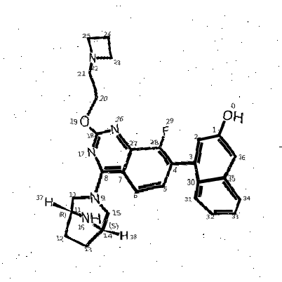 Oc1cc(-c2ccc3c(N4C[C@H]5CC[C@@H](C4)N5)nc(OCCN4CCC4)nc3c2F)c2ccccc2c1